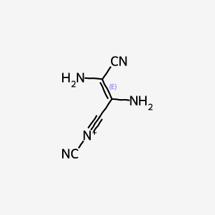 N#C[N+]#C/C(N)=C(\N)C#N